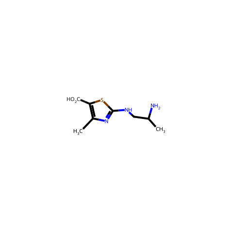 Cc1nc(NCC(C)N)sc1C(=O)O